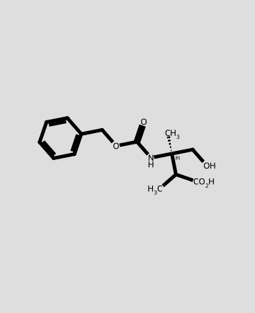 CC(C(=O)O)[C@](C)(CO)NC(=O)OCc1ccccc1